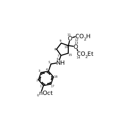 CCCCCCCCc1ccc(CNC2CCC(OC(=O)O)(OC(=O)OCC)C2)cc1